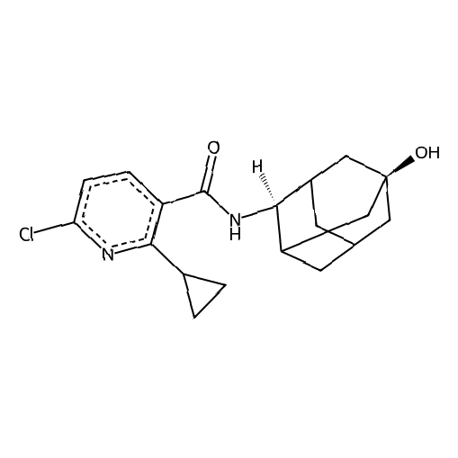 O=C(N[C@H]1C2CC3CC1C[C@@](O)(C3)C2)c1ccc(Cl)nc1C1CC1